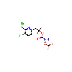 CC(=O)ONC(=O)OC(C)(C)Cc1ccc(Br)c(CBr)n1